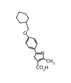 Cc1nc(-c2ccc(OCC3CCCCC3)cc2)sc1C(=O)O